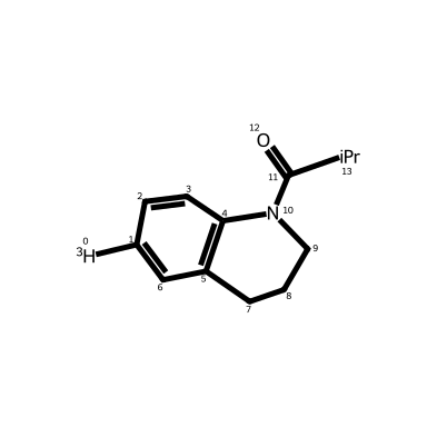 [3H]c1ccc2c(c1)CCCN2C(=O)C(C)C